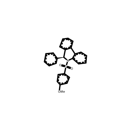 COc1ccc(S(=O)(=O)N2c3ccccc3-c3ccccc3[C@@H]2c2ccccc2)cc1